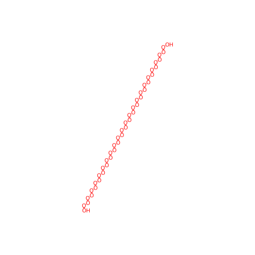 OOOOOOOOOOOOOOOOOOOOOOOOOOOOOOOOOOOOOOOOOOOOO